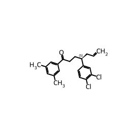 C=CC[C@H](CCC(=O)c1cc(C)cc(C)c1)c1ccc(Cl)c(Cl)c1